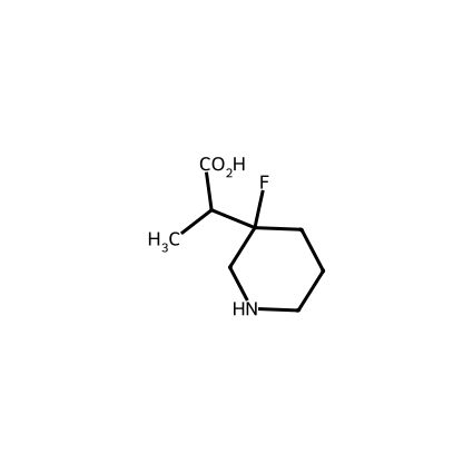 CC(C(=O)O)C1(F)CCCNC1